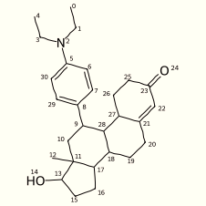 CCN(CC)c1ccc(C2CC3(C)C(O)CCC3C3CCC4=CC(=O)CCC4C23)cc1